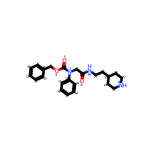 O=C(CN(C(=O)OCc1ccccc1)c1ccccc1)NCCC1CCNCC1